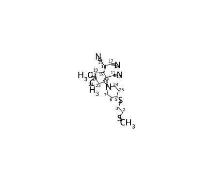 CSCCSC1CCN(C2=C(C#N)C(=C(C#N)C#N)CC(C)(C)C2)CC1